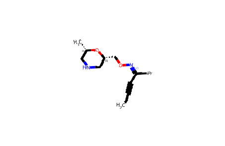 CC#C/C(=N\OC[C@@H]1CNC[C@H](C)O1)C(C)C